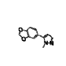 Cn1nccc1-c1ccc2c(c1)OCO2